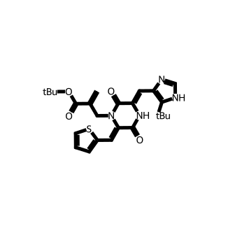 C=C(Cn1c(=O)/c(=C/c2nc[nH]c2C(C)(C)C)[nH]c(=O)/c1=C/c1cccs1)C(=O)OC(C)(C)C